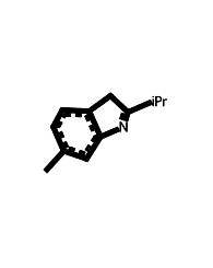 Cc1ccc2c(c1)N=C(C(C)C)C2